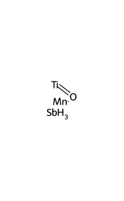 [Mn].[O]=[Ti].[SbH3]